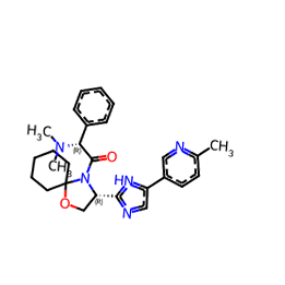 Cc1ccc(-c2cnc([C@@H]3COC4(CCCCC4)N3C(=O)[C@@H](c3ccccc3)N(C)C)[nH]2)cn1